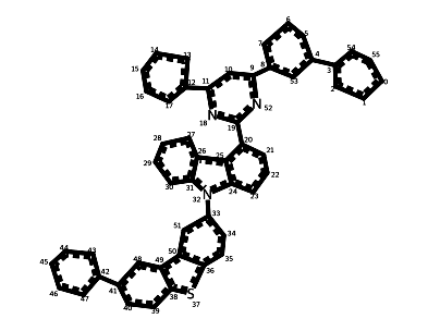 c1ccc(-c2cccc(-c3cc(-c4ccccc4)nc(-c4cccc5c4c4ccccc4n5-c4ccc5sc6ccc(-c7ccccc7)cc6c5c4)n3)c2)cc1